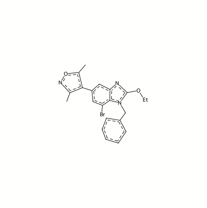 CCOc1nc2cc(-c3c(C)noc3C)cc(Br)c2n1Cc1ccccc1